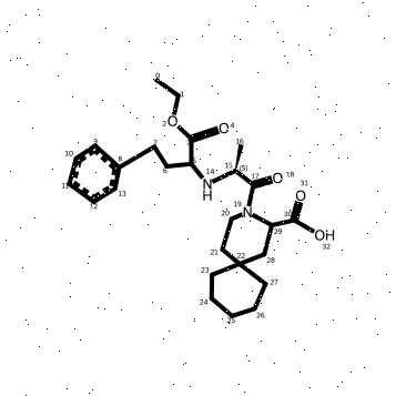 CCOC(=O)C(CCc1ccccc1)N[C@@H](C)C(=O)N1CCC2(CCCCC2)CC1C(=O)O